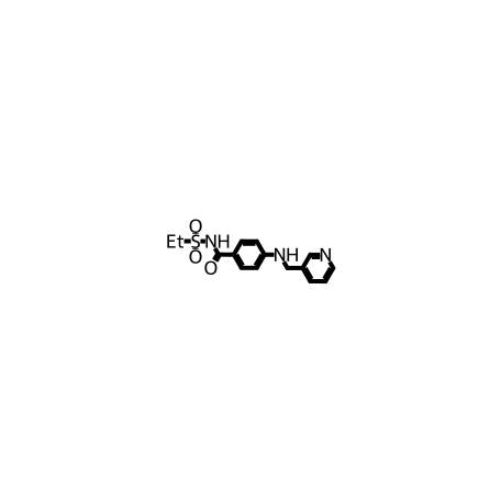 CCS(=O)(=O)NC(=O)c1ccc(NCc2cccnc2)cc1